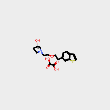 O=C(O)C(=O)O.O[C@H]1CCN(CCOCCc2ccc3ccsc3c2)C1